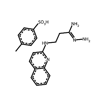 Cc1ccc(S(=O)(=O)O)cc1.NN=C(N)CCNc1ccc2ccccc2n1